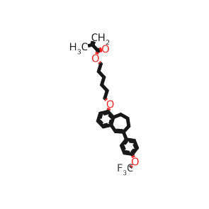 C=C(C)C(=O)OCCCCCCOc1cccc2c1CCCC(c1ccc(OC(F)(F)F)cc1)=C2